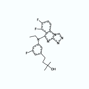 CCN(c1cc(F)cc(CCC(C)(C)O)c1)c1nc2nncn2c2ccc(F)c(F)c12